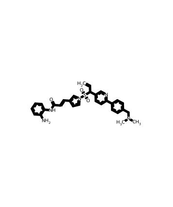 C=CC(c1ccc(-c2ccc(CN(C)C)cc2)nc1)S(=O)(=O)n1ccc(/C=C/C(=O)Nc2ccccc2N)c1